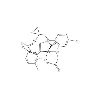 Cc1ccc(F)cc1[C@H]1NC(=O)C[C@@H](c2cc(Cl)ccc2OCC2(C#N)CC2)[C@]12C(=O)Nc1cc(Cl)ccc12